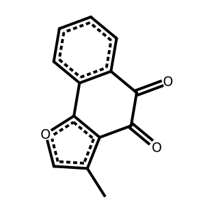 Cc1coc2c1C(=O)C(=O)c1ccccc1-2